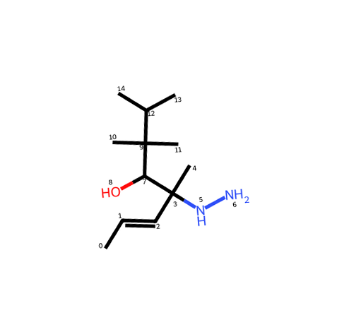 CC=CC(C)(NN)C(O)C(C)(C)C(C)C